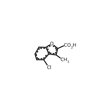 Cc1c(C(=O)O)oc2cccc(Cl)c12